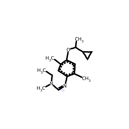 CCN(C)/C=N\c1cc(C)c(OC(C)C2CC2)cc1C